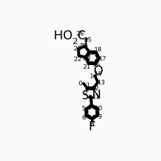 Cc1sc(-c2ccc(F)cc2)nc1CCOc1ccc2c(c1)CC[C@H]2CC(=O)O